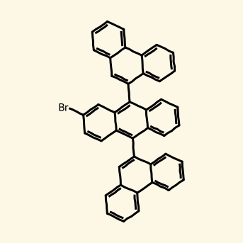 Brc1ccc2c(-c3cc4ccccc4c4ccccc34)c3ccccc3c(-c3cc4ccccc4c4ccccc34)c2c1